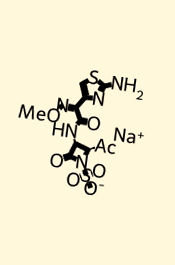 CO/N=C(\C(=O)N[C@H]1C(=O)N(S(=O)(=O)[O-])[C@H]1C(C)=O)c1csc(N)n1.[Na+]